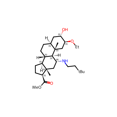 CCO[C@H]1C[C@@]2(C)[C@@H](CC[C@@H]3[C@@H]2[C@H](NCCC(C)(C)C)C[C@]2(C)[C@@H](C(=O)OC)CC[C@@H]32)C[C@@H]1O